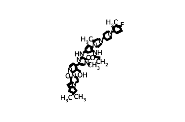 C=CC(=O)Nc1cc(Nc2nc(-c3ccnc(N4CCn5c(cc6c5CC(C)(C)C6)C4=O)c3CO)cn(C)c2=O)ccc1N1CCN(C2CCN(c3ccc(F)c(C)c3)CC2)C[C@@H]1C